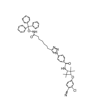 CC1(C)C(NC(=O)c2ccc(-n3cc(CCCCCCC(=O)NOC(c4ccccc4)(c4ccccc4)c4ccccc4)nn3)cc2)C(C)(C)C1Oc1ccc(C#N)c(Cl)c1